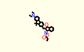 C=CC(=O)O/N=C1/C(=C/c2ccc3c(c2)C(C)(C)c2cc(N(CC)CC)ccc2-3)C(=O)c2ccccc21